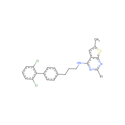 CCc1nc(NCCCc2ccc(-c3c(Cl)cccc3Cl)cc2)c2cc(C)sc2n1